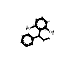 CCC(c1ccccc1)c1c(O)cccc1O